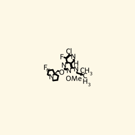 COC(C)(C)CNc1nc(OC[C@@]23CCCN2C[C@H](F)C3)nc2c(F)c(Cl)ncc12